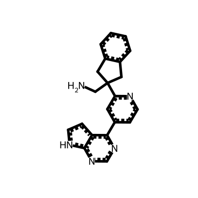 NCC1(c2cc(-c3ncnc4[nH]ccc34)ccn2)Cc2ccccc2C1